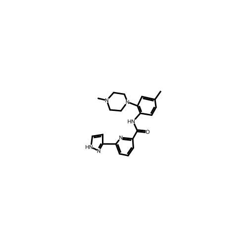 Cc1ccc(NC(=O)c2cccc(-c3cc[nH]n3)n2)c(N2CCN(C)CC2)c1